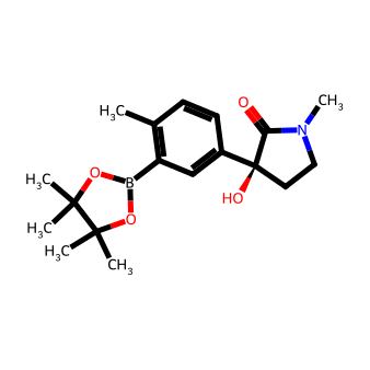 Cc1ccc([C@@]2(O)CCN(C)C2=O)cc1B1OC(C)(C)C(C)(C)O1